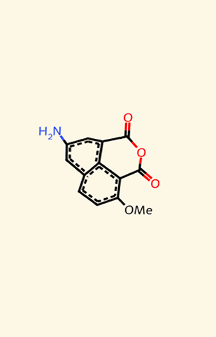 COc1ccc2cc(N)cc3c2c1C(=O)OC3=O